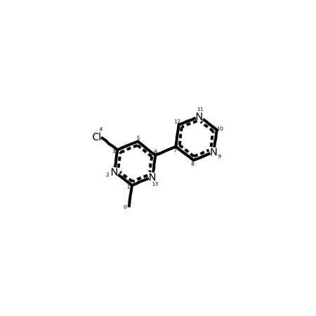 Cc1nc(Cl)cc(-c2cncnc2)n1